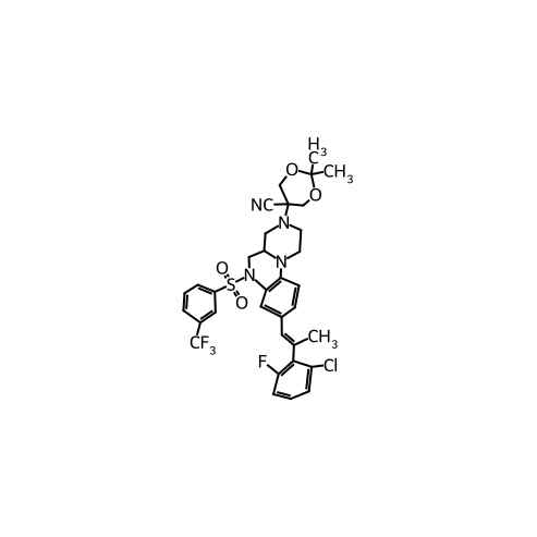 C/C(=C\c1ccc2c(c1)N(S(=O)(=O)c1cccc(C(F)(F)F)c1)CC1CN(C3(C#N)COC(C)(C)OC3)CCN21)c1c(F)cccc1Cl